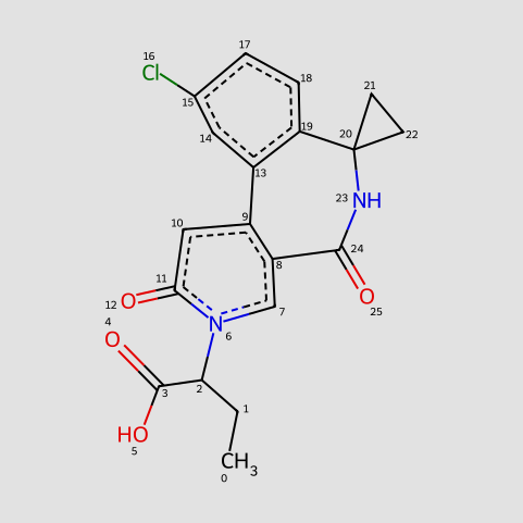 CCC(C(=O)O)n1cc2c(cc1=O)-c1cc(Cl)ccc1C1(CC1)NC2=O